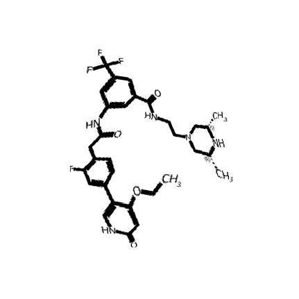 CCOc1cc(=O)[nH]cc1-c1ccc(CC(=O)Nc2cc(C(=O)NCCN3C[C@@H](C)N[C@@H](C)C3)cc(C(F)(F)F)c2)c(F)c1